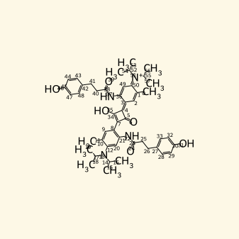 CC1=C/C(=C2\C(=O)C(c3cc(C)c(N(C(C)C)C(C)C)cc3NC(=O)CCc3ccc(O)cc3)=C2O)C(NC(=O)CCc2ccc(O)cc2)=CC1=[N+](C(C)C)C(C)C